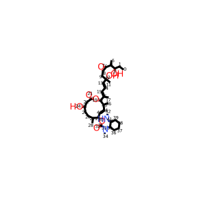 CCC(O)C(C)C1OC1CC(C)(O)/C=C/C=C(\C)C1OC(=O)CC(O)CCC(C)C(OC(=O)N(C)C2CCCCC2NC)/C=C/C1C